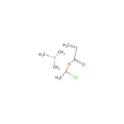 C=CC(=O)OC(C)Cl.CP(C)C